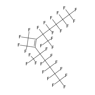 FC(F)(F)C(F)(F)C(F)(F)C(F)(F)C(F)(C1=C(C(F)(C(F)(F)F)C(F)(F)C(F)(F)C(F)(F)C(F)(F)F)C(F)(F)C1(F)F)C(F)(F)F